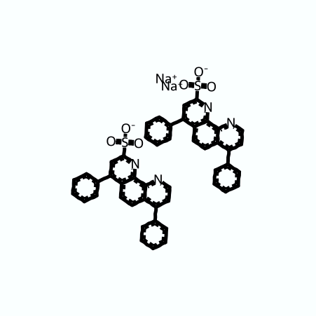 O=S(=O)([O-])c1cc(-c2ccccc2)c2ccc3c(-c4ccccc4)ccnc3c2n1.O=S(=O)([O-])c1cc(-c2ccccc2)c2ccc3c(-c4ccccc4)ccnc3c2n1.[Na+].[Na+]